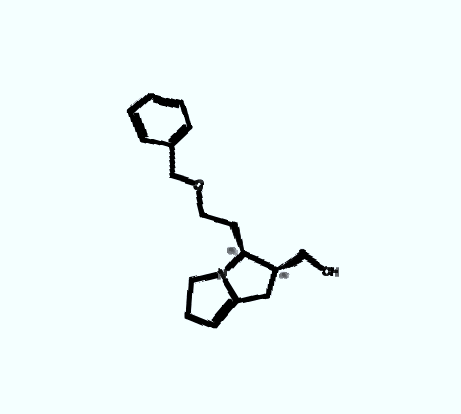 OC[C@H]1CC2=CCCN2[C@H]1CCOCc1ccccc1